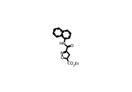 CCOC(=O)C1CC(C(=O)Nc2cccc3ccccc23)=NO1